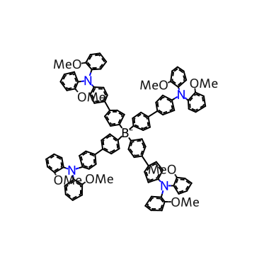 COc1ccccc1N(c1ccc(-c2ccc([B-](c3ccc(-c4ccc(N(c5ccccc5OC)c5ccccc5OC)cc4)cc3)(c3ccc(-c4ccc(N(c5ccccc5OC)c5ccccc5OC)cc4)cc3)c3ccc(-c4ccc(N(c5ccccc5OC)c5ccccc5OC)cc4)cc3)cc2)cc1)c1ccccc1OC